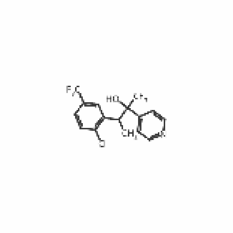 CC(c1cc(C(F)(F)F)ccc1Cl)C(O)(c1ccncc1)C(F)(F)F